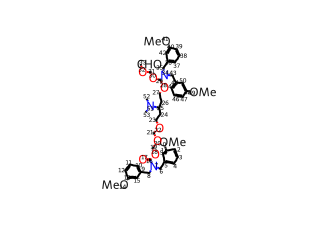 COc1cccc(CN(Cc2cccc(OC)c2)C(=O)OCOCOCCC(CCOC(OCOC=O)N(Cc2cccc(OC)c2)Cc2cccc(OC)c2)N(C)C)c1